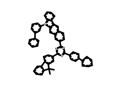 CC1(C)c2ccccc2-c2ccc(-c3nc(-c4ccc(-c5ccccc5)cc4)nc(-c4ccc5cc6c7ccccc7n(-c7cccc(-c8ccccc8)c7)c6cc5c4)n3)cc21